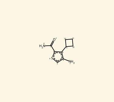 NC(=O)c1scc(N)c1C1CCC1